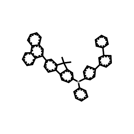 CC1(C)c2cc(-c3cc4ccccc4c4ccccc34)ccc2-c2ccc(N(c3ccccc3)c3ccc(-c4cccc(-c5ccccc5)c4)cc3)cc21